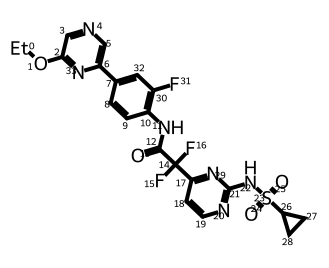 CCOc1cncc(-c2ccc(NC(=O)C(F)(F)c3ccnc(NS(=O)(=O)C4CC4)n3)c(F)c2)n1